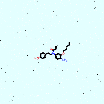 C=CC(=O)N(CCc1ccc(O)cc1)c1ccc(N)c(OCCCCC)c1